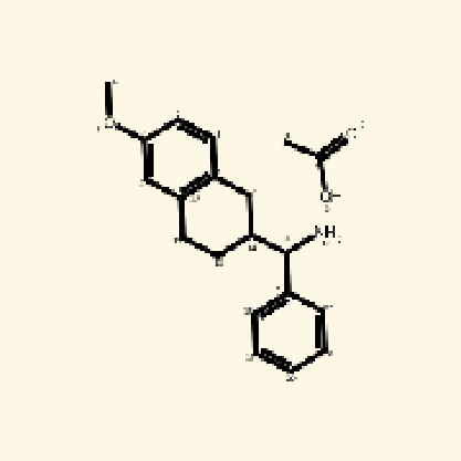 CC(=O)O.COc1ccc2c(c1)CCC(C(N)c1ccccc1)C2